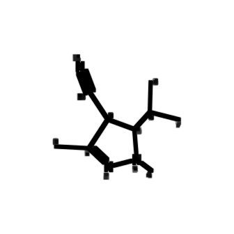 CC1=NN(C)C(C(C)C)C1C#N